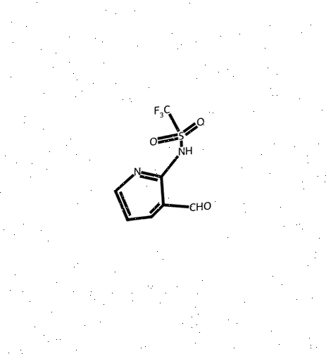 O=Cc1cccnc1NS(=O)(=O)C(F)(F)F